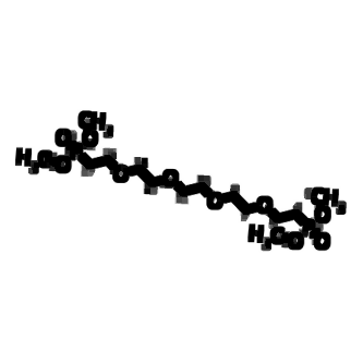 COP(=O)(CCOCCOCCOCCOCCP(=O)(OC)OC)OC